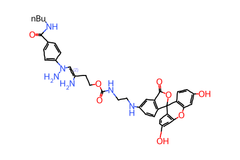 CCCCNC(=O)c1ccc(N(N)/C=C(\N)CCOC(=O)NCCNc2ccc3c(c2)C(=O)OC32c3ccc(O)cc3Oc3cc(O)ccc32)cc1